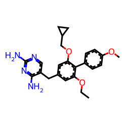 CCOc1cc(Cc2cnc(N)nc2N)cc(OCC2CC2)c1-c1ccc(OC)cc1